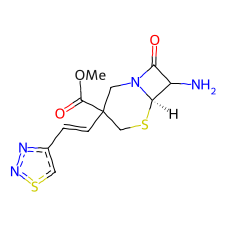 COC(=O)C1(C=Cc2csnn2)CS[C@@H]2C(N)C(=O)N2C1